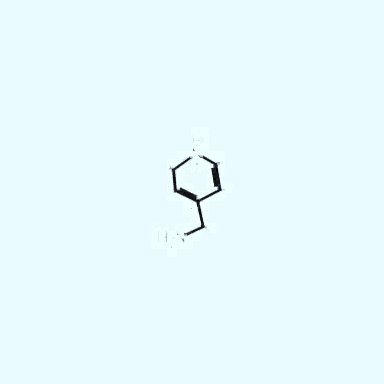 NCC1=CCNC=C1